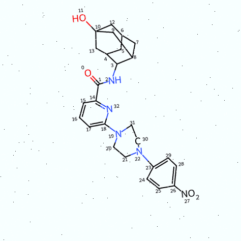 O=C(NC1C2CC3CC1CC(O)(C3)C2)c1cccc(N2CCN(c3ccc([N+](=O)[O-])cc3)CC2)n1